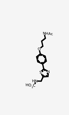 CC(=O)NCCCOc1ccc(-c2ncc(CNC(=O)O)s2)cc1